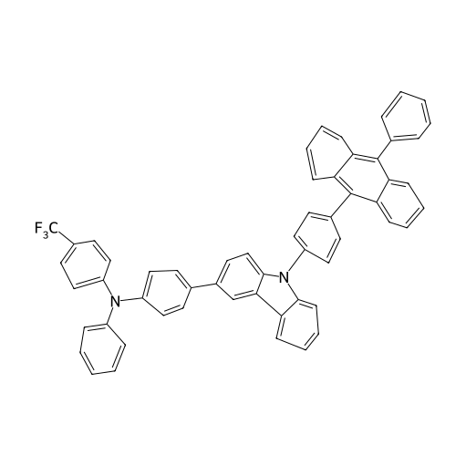 FC(F)(F)c1ccc(N(c2ccccc2)c2ccc(-c3ccc4c(c3)c3ccccc3n4-c3ccc(-c4c5ccccc5c(-c5ccccc5)c5ccccc45)cc3)cc2)cc1